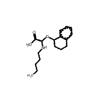 CCCCCNC(OC1CCCc2ccccc21)C(=O)O